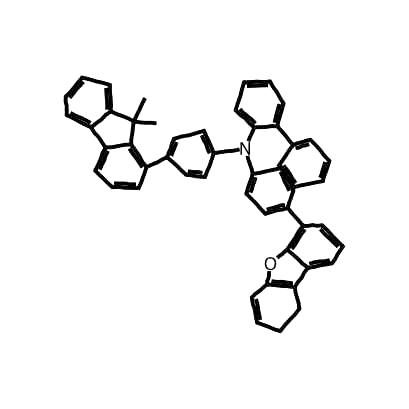 CC1(C)c2ccccc2-c2cccc(-c3ccc(N(c4ccc(-c5cccc6c7c(oc56)C=CCC7)cc4)c4ccccc4-c4ccccc4)cc3)c21